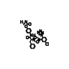 NC(=O)Oc1ccc(NC(=O)C(Cc2ccccc2)N2CON(c3cc(Cl)ccc3-n3cnnn3)CO2)cc1